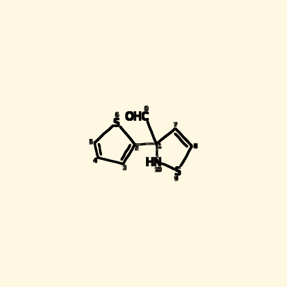 O=CC1(c2cccs2)C=CSN1